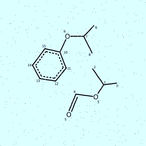 CC(C)OC=O.CC(C)Oc1ccccc1